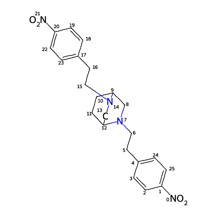 O=[N+]([O-])c1ccc(CCN2CC3CCC2CN3CCc2ccc([N+](=O)[O-])cc2)cc1